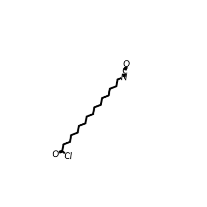 O=C=NCCCCCCCCCCCCCCCC(=O)Cl